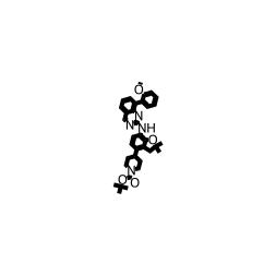 COc1ccccc1-c1cccc2cnc(Nc3ccc(C4CCN(C(=O)OC(C)(C)C)CC4)c4c3OC(C)(C)C4)nc12